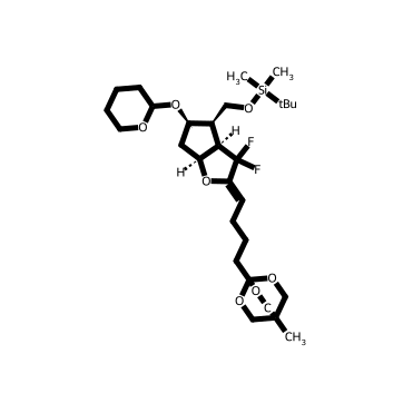 CC12COC(CCCC=C3O[C@H]4C[C@@H](OC5CCCCO5)[C@@H](CO[Si](C)(C)C(C)(C)C)[C@H]4C3(F)F)(OC1)OC2